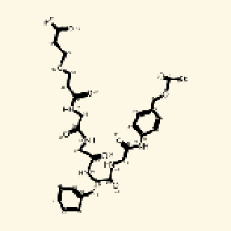 CCC(=O)OCc1ccc(NC(=O)CNC(=O)[C@H](Cc2ccccc2)NC(=O)CNC(=O)CNC(=O)CCOCCC(=O)C(C)C)cc1